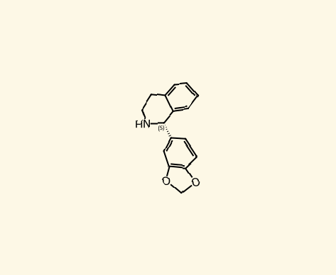 c1ccc2c(c1)CCN[C@H]2c1ccc2c(c1)OCO2